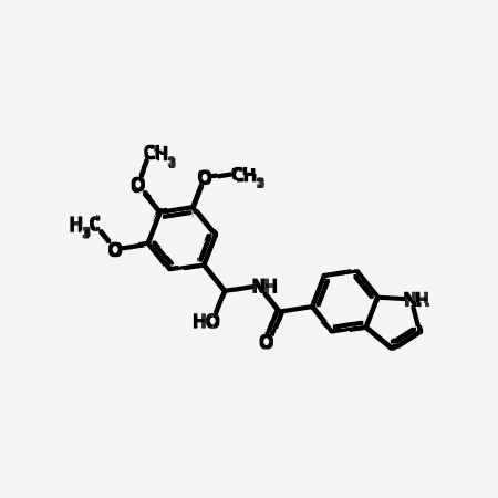 COc1cc(C(O)NC(=O)c2ccc3[nH]ccc3c2)cc(OC)c1OC